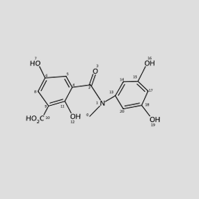 CN(C(=O)c1cc(O)cc(C(=O)O)c1O)c1cc(O)cc(O)c1